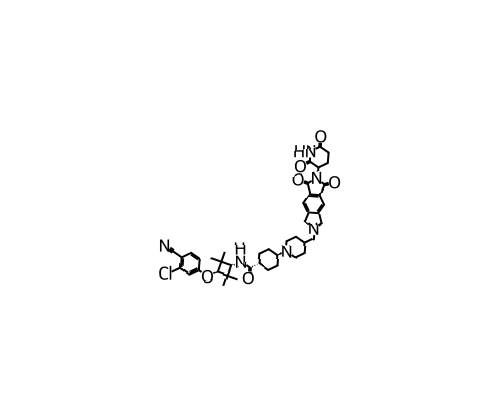 CC1(C)[C@H](NC(=O)[C@H]2CC[C@H](N3CCC(CN4Cc5cc6c(cc5C4)C(=O)N(C4CCC(=O)NC4=O)C6=O)CC3)CC2)C(C)(C)[C@H]1Oc1ccc(C#N)c(Cl)c1